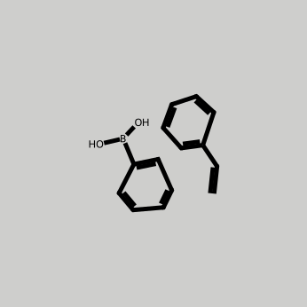 C=Cc1ccccc1.OB(O)c1ccccc1